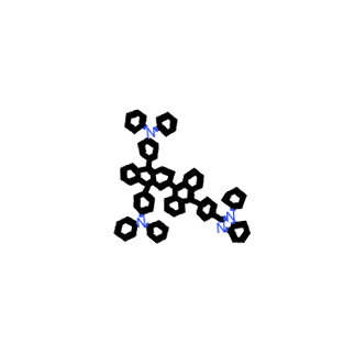 c1ccc(N(c2ccccc2)c2ccc(-c3c4ccccc4c(-c4ccc(N(c5ccccc5)c5ccccc5)cc4)c4cc(-c5c6ccccc6c(-c6ccc(-c7nc8ccccc8n7-c7ccccc7)cc6)c6ccccc56)ccc34)cc2)cc1